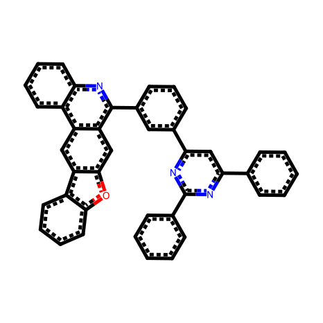 c1ccc(-c2cc(-c3cccc(-c4nc5ccccc5c5cc6c(cc45)oc4ccccc46)c3)nc(-c3ccccc3)n2)cc1